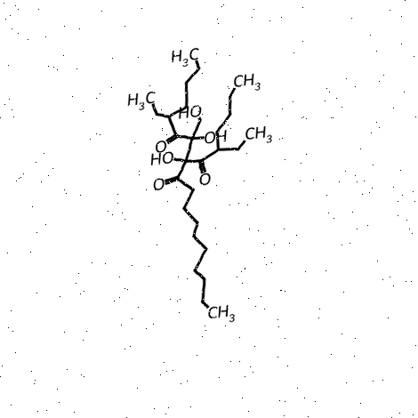 CCCCCCCCCC(=O)C(O)(C(=O)C(CC)CCCC)C(O)(CO)C(=O)C(CC)CCCC